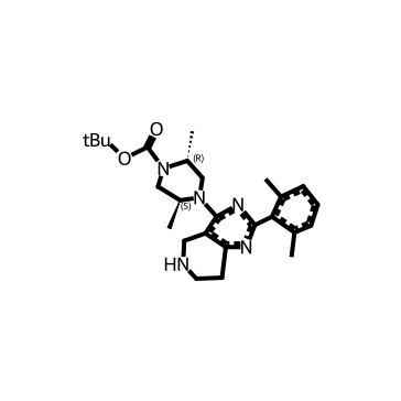 Cc1cccc(C)c1-c1nc2c(c(N3C[C@@H](C)N(C(=O)OC(C)(C)C)C[C@@H]3C)n1)CNCC2